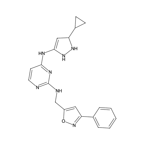 C1=C(Nc2ccnc(NCc3cc(-c4ccccc4)no3)n2)NNC1C1CC1